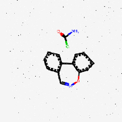 C1=NOc2ccccc2-c2ccccc21.NC(=O)Cl